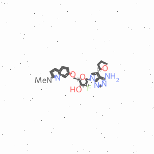 CNc1ccc2ccc(OC[C@H]3O[C@@H](n4cc([C@@H]5CCCO5)c5c(N)ncnc54)[C@@H](F)[C@@H]3O)cc2n1